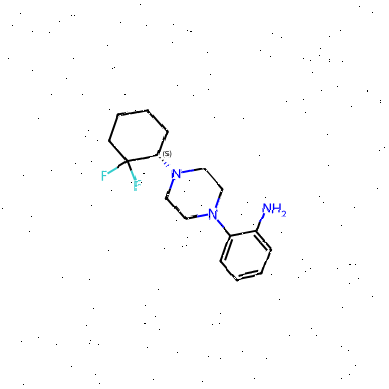 Nc1ccccc1N1CCN([C@H]2CCCCC2(F)F)CC1